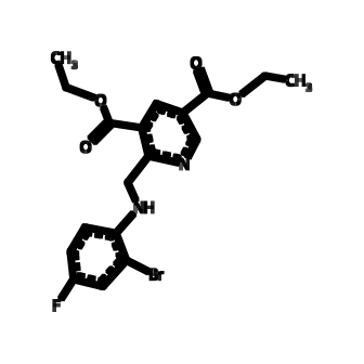 CCOC(=O)c1cnc(CNc2ccc(F)cc2Br)c(C(=O)OCC)c1